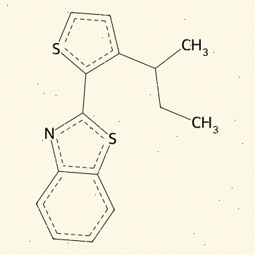 CCC(C)c1ccsc1-c1nc2ccccc2s1